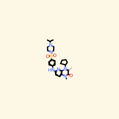 CC(C)N1CCN(S(=O)(=O)c2ccc(Nc3ccc4c(n3)N(C3CCCC3)[C@H](C)C(=O)N4C)cc2)CC1